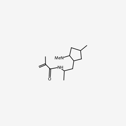 C=C(C)C(=O)NC(C)CC1CC(C)CC1NC